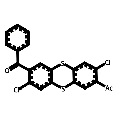 CC(=O)c1cc2c(cc1Cl)Sc1cc(C(=O)c3ccccc3)c(Cl)cc1S2